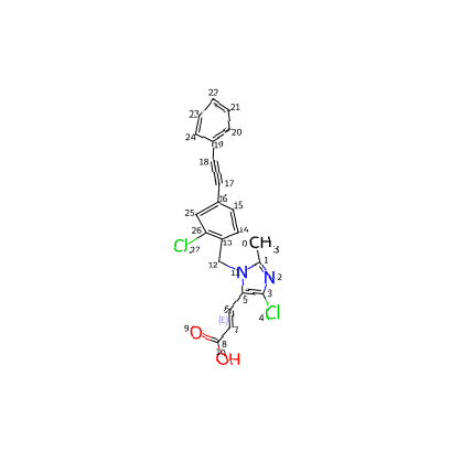 Cc1nc(Cl)c(/C=C/C(=O)O)n1Cc1ccc(C#Cc2ccccc2)cc1Cl